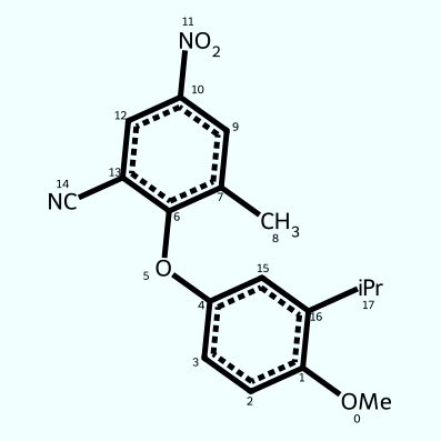 COc1ccc(Oc2c(C)cc([N+](=O)[O-])cc2C#N)cc1C(C)C